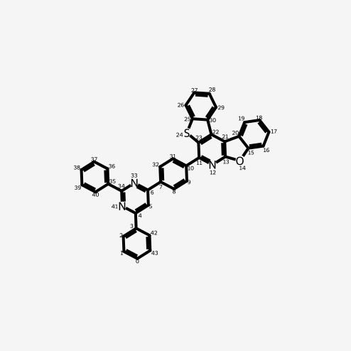 c1ccc(-c2cc(-c3ccc(-c4nc5oc6ccccc6c5c5c4sc4ccccc45)cc3)nc(-c3ccccc3)n2)cc1